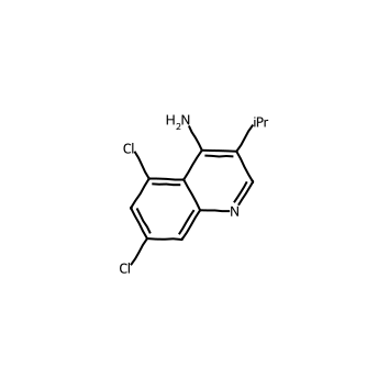 CC(C)c1cnc2cc(Cl)cc(Cl)c2c1N